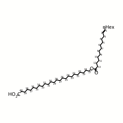 CCCCCCC=CCCCCCCCCCCCC(=O)OCCCCCCCCCCCCCCCCCCCCCCCCC(=O)O